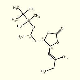 CC/C(C)=C/[C@@H]1OC(=O)O[C@H]1C[C@H](C)O[Si](C)(C)C(C)(C)C